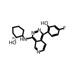 Oc1cc(F)ccc1-c1nnc(NC2CCCC[C@H]2O)c2cnccc12